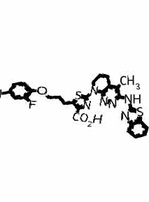 Cc1c(Nc2nc3ccccc3s2)nnc2c1CCCN2c1nc(C(=O)O)c(CCCOc2ccc(I)cc2F)s1